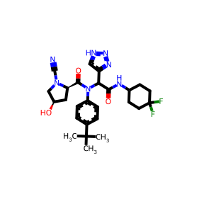 CC(C)(C)c1ccc(N(C(=O)[C@H]2C[C@@H](O)CN2C#N)C(C(=O)NC2CCC(F)(F)CC2)c2c[nH]nn2)cc1